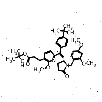 COc1ccc(CN2C(=O)CC[C@@H]2C=C(c2ccc(C(C)(C)C)cc2)c2ccc(CCC(=O)OC(C)(C)C)c(OC)n2)c(OC)c1